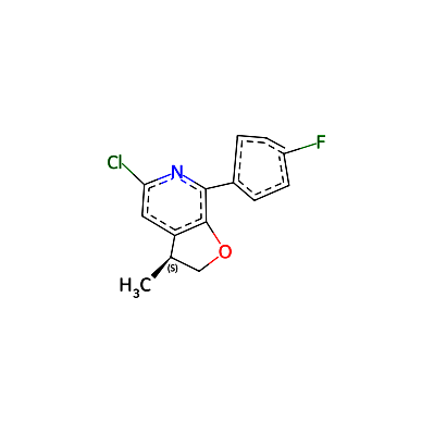 C[C@@H]1COc2c1cc(Cl)nc2-c1ccc(F)cc1